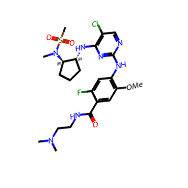 COc1cc(C(=O)NCCN(C)C)c(F)cc1Nc1ncc(Cl)c(N[C@@H]2CCC[C@H]2N(C)S(C)(=O)=O)n1